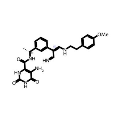 COc1ccc(CCN/C=C(\C=N)c2cccc([C@@H](C)NC(=O)c3[nH]c(=O)[nH]c(=O)c3N)c2)cc1